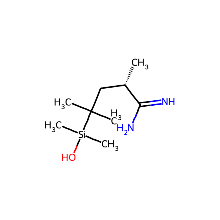 C[C@@H](CC(C)(C)[Si](C)(C)O)C(=N)N